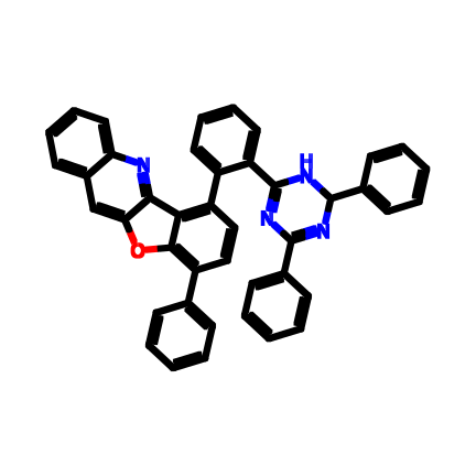 c1ccc(C2=NC(c3ccccc3)NC(c3ccccc3-c3ccc(-c4ccccc4)c4oc5cc6ccccc6nc5c34)=N2)cc1